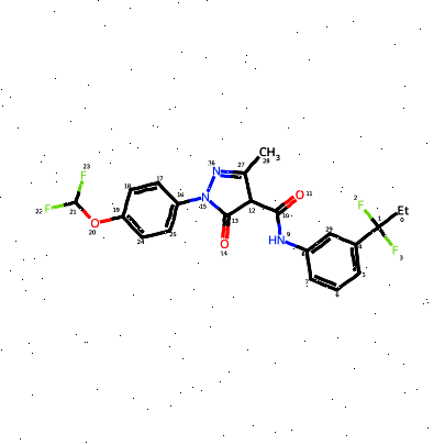 CCC(F)(F)c1cccc(NC(=O)C2C(=O)N(c3ccc(OC(F)F)cc3)N=C2C)c1